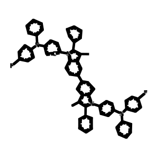 Cc1c(-c2ccccc2)n(-c2ccc(N(c3ccccc3)c3ccc(F)cc3)cc2)c2ccc(-c3ccc4c(c3)c(C)c(-c3ccccc3)n4-c3ccc(N(c4ccccc4)c4ccc(F)cc4)cc3)cc12